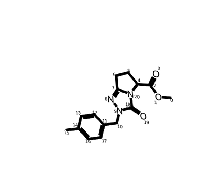 COC(=O)C1CCc2nn(Cc3ccc(C)cc3)c(=O)n21